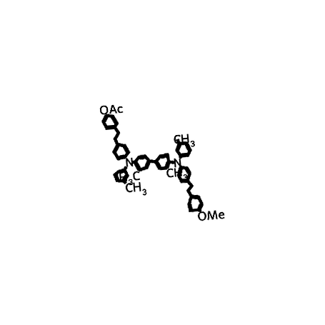 COc1ccc(CCc2ccc(N(c3cccc(C)c3)c3ccc(-c4ccc(N(c5ccc(CCc6ccc(OC(C)=O)cc6)cc5)c5cccc(C)c5)c(C)c4)cc3C)cc2)cc1